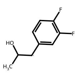 CC(O)[CH]c1ccc(F)c(F)c1